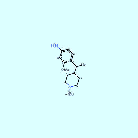 CCCCN1CCC(C(C(C)=O)c2ccc(N)cc2OC)CC1